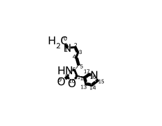 C=N/C=C\C=C\[C@H]1NC(=O)O[C@@H]1c1cccnc1